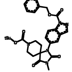 CN1C(=O)N(c2ccc3c(cnn3C(=O)OCc3ccccc3)c2)C2(CCN(C(=O)OC(C)(C)C)CC2)C1=O